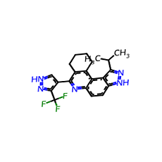 CC(C)c1n[nH]c2ccc3nc(-c4c[nH]nc4C(F)(F)F)c4c(c3c12)CCCC4